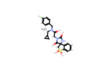 C[C@@H](C1CC1)N(Cc1ccc(F)cc1)C(=O)CN1C(=O)NC2(CS(=O)(=O)c3ccccc32)C1=O